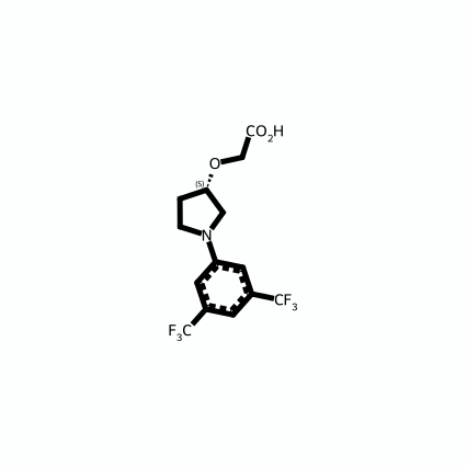 O=C(O)CO[C@H]1CCN(c2cc(C(F)(F)F)cc(C(F)(F)F)c2)C1